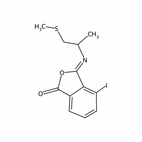 CSCC(C)N=C1OC(=O)c2cccc(I)c21